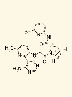 Cc1ccc2c(n1)c1c(N)ncnc1n2CC(=O)N1[C@@H]2C[C@@H]2C[C@H]1C(=O)Nc1cccc(Br)n1